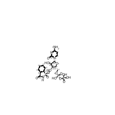 Nc1ccn([C@@H]2O[C@H](COP(=O)(O)OP(=O)(O)O)[C@@H](O)[C@H]2O)c(=O)n1.O=C1NS(=O)(=O)c2ccccc21